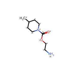 CC1CCN(C(=O)OCCN)CC1